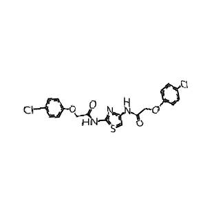 O=C(COc1ccc(Cl)cc1)Nc1csc(NC(=O)COc2ccc(Cl)cc2)n1